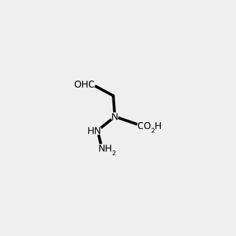 NNN(CC=O)C(=O)O